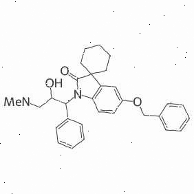 CNCC(O)C(c1ccccc1)N1C(=O)C2(CCCCC2)c2cc(OCc3ccccc3)ccc21